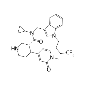 Cn1ccc(C2CCNC[C@@H]2C(=O)N(Cc2cn(CCCC(F)(F)F)c3ccccc23)C2CC2)cc1=O